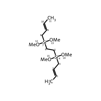 CC=CC[Si](CC[Si](CC=CC)(OC)OC)(OC)OC